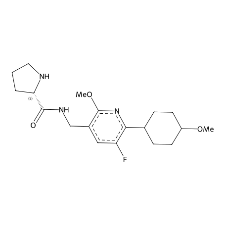 COc1nc(C2CCC(OC)CC2)c(F)cc1CNC(=O)[C@@H]1CCCN1